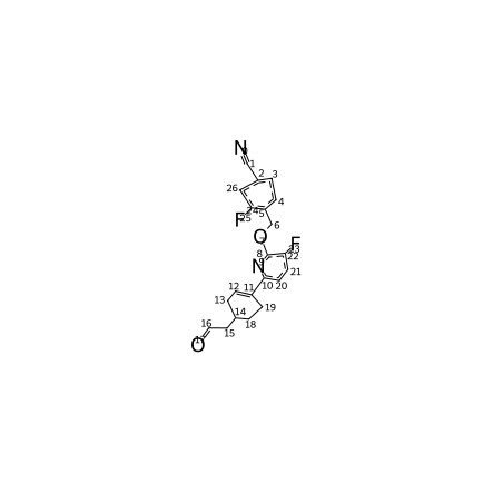 N#Cc1ccc(COc2nc(C3=CCC(CC=O)CC3)ccc2F)c(F)c1